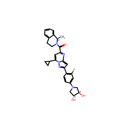 C[C@@H]1c2ccccc2CCN1C(=O)c1cc(C2CC2)n2nc(-c3ccc(N4C[C@@H](O)[C@H](O)C4)cc3F)cc2n1